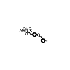 CNC(=O)C(Cc1ccc(OCCc2cccc(C)c2)cc1)SC=O